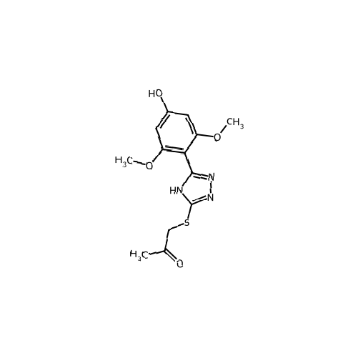 COc1cc(O)cc(OC)c1-c1nnc(SCC(C)=O)[nH]1